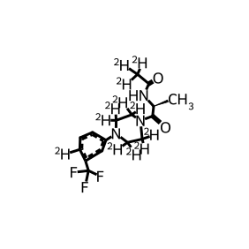 [2H]c1ccc(N2C([2H])([2H])C([2H])([2H])N(C(=O)[C@H](C)NC(=O)C([2H])([2H])[2H])C([2H])([2H])C2([2H])[2H])cc1C(F)(F)F